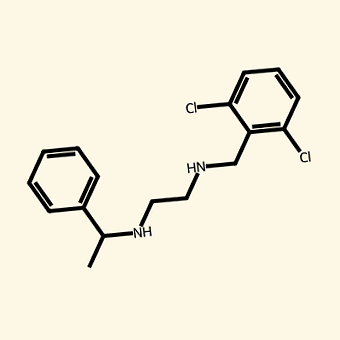 CC(NCCNCc1c(Cl)cccc1Cl)c1ccccc1